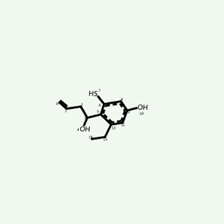 C=CCC(O)c1c(S)cc(O)cc1CC